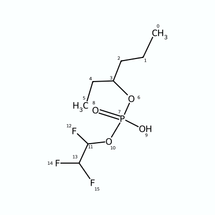 CCCC(CC)OP(=O)(O)OC(F)C(F)F